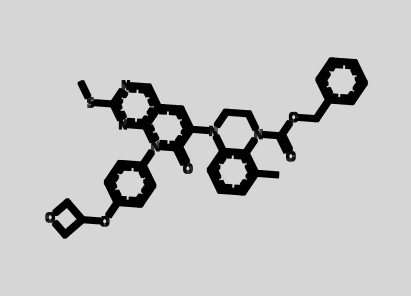 CSc1ncc2cc(N3CCN(C(=O)OCc4ccccc4)c4c(C)cccc43)c(=O)n(-c3ccc(OC4COC4)cc3)c2n1